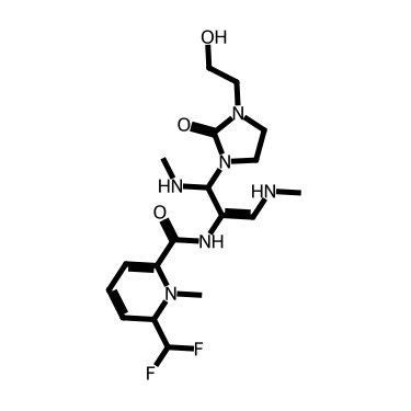 CN/C=C(/NC(=O)C1=CC=CC(C(F)F)N1C)C(NC)N1CCN(CCO)C1=O